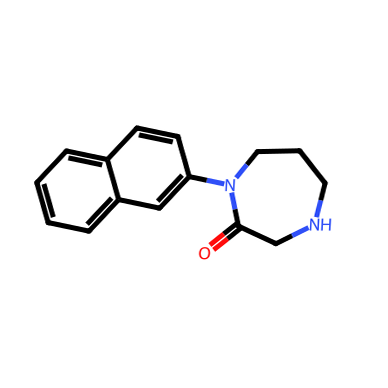 O=C1CNCCCN1c1ccc2ccccc2c1